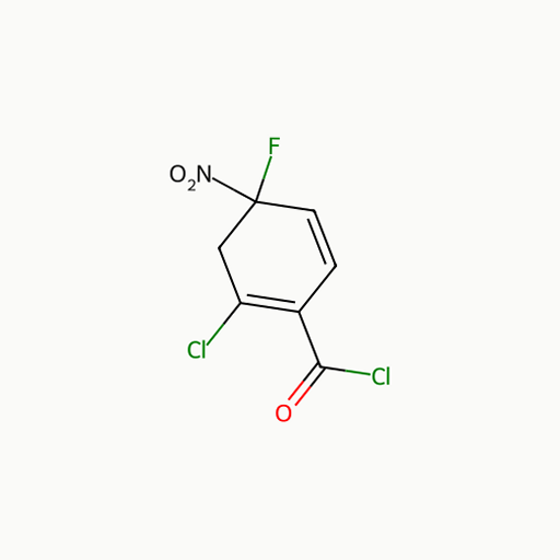 O=C(Cl)C1=C(Cl)CC(F)([N+](=O)[O-])C=C1